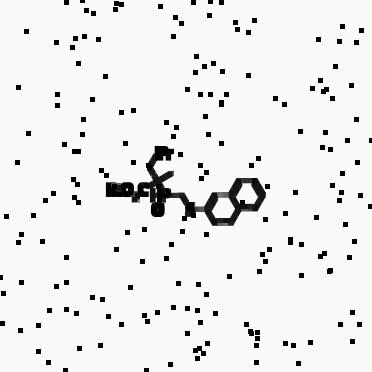 CCOC(=O)C(C)(CC(C)C)[PH](=O)CSc1ccc2ccccc2c1